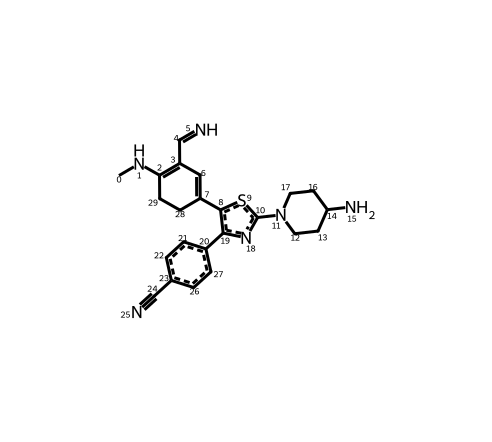 CNC1=C(C=N)C=C(c2sc(N3CCC(N)CC3)nc2-c2ccc(C#N)cc2)CC1